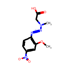 COc1cc([N+](=O)[O-])ccc1/N=N/N(C)CC(=O)O